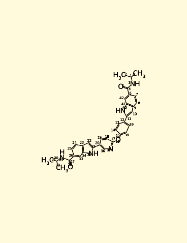 CC(C)NC(=O)c1ccc2cc(-c3ccc(Oc4ccc(-c5cc6ccc(C(=O)NC(C)C)cc6[nH]5)cn4)cc3)[nH]c2c1